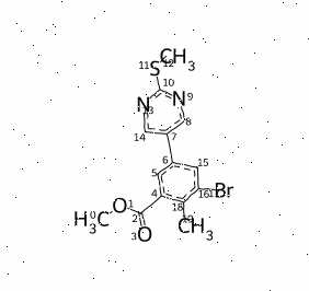 COC(=O)c1cc(-c2cnc(SC)nc2)cc(Br)c1C